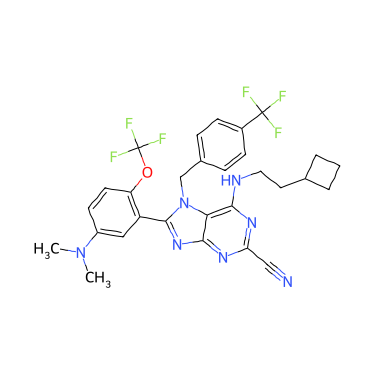 CN(C)c1ccc(OC(F)(F)F)c(-c2nc3nc(C#N)nc(NCCC4CCC4)c3n2Cc2ccc(C(F)(F)F)cc2)c1